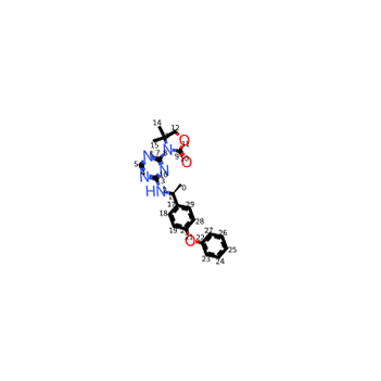 C[C@H](Nc1ncnc(N2C(=O)OCC2(C)C)n1)c1ccc(Oc2ccccc2)cc1